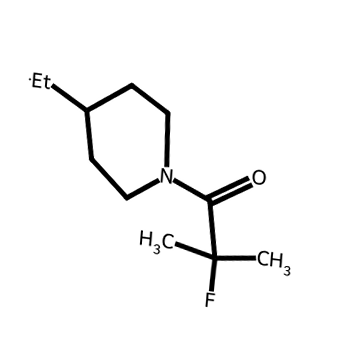 C[CH]C1CCN(C(=O)C(C)(C)F)CC1